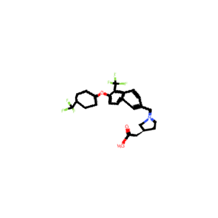 O=C(O)C[C@@H]1CCN(Cc2ccc3c(C(F)(F)F)c(OC4CCC(C(F)(F)F)CC4)ccc3c2)C1